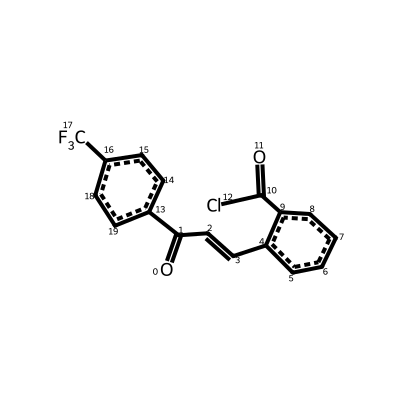 O=C(C=Cc1ccccc1C(=O)Cl)c1ccc(C(F)(F)F)cc1